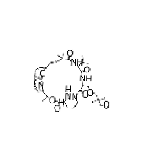 CC1OC(=O)[C@@H]2CCCN(N2)C(=O)[C@H](COCC2(C)COC2)NC(=O)[C@H](C(C)C)NC(=O)C(C)(C)/C=C/c2ccc3ccc1nc3c2